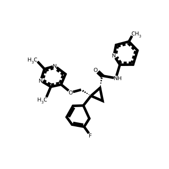 Cc1ccc(NC(=O)[C@@H]2C[C@@]2(COc2cnc(C)nc2C)C2C=CC=C(F)C2)nc1